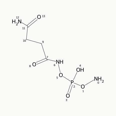 NOP(=O)(O)ONC(=O)CCC(N)=O